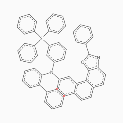 c1ccc(-c2nc3ccc4ccc5ccc(N(c6cccc([Si](c7ccccc7)(c7ccccc7)c7ccccc7)c6)c6ccccc6-c6ccccc6)cc5c4c3o2)cc1